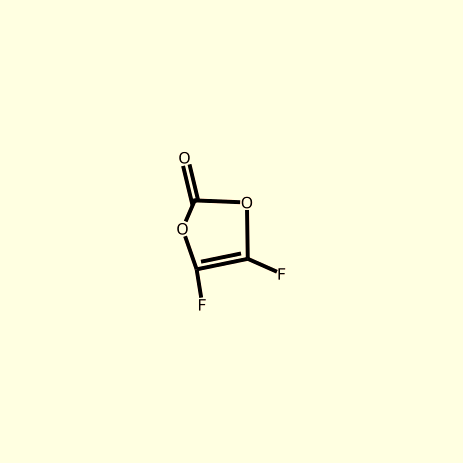 O=c1oc(F)c(F)o1